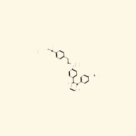 CCC(F)(F)c1ccc(CC(=O)Nc2ccc(-c3nccnc3-c3ccc(OC)cc3)cc2)cc1